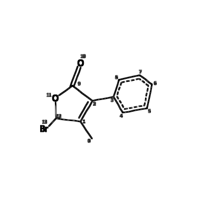 CC1=C(c2ccccc2)C(=O)OC1Br